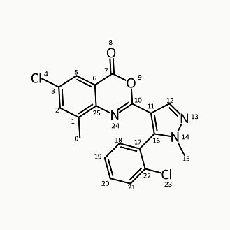 Cc1cc(Cl)cc2c(=O)oc(-c3cnn(C)c3-c3ccccc3Cl)nc12